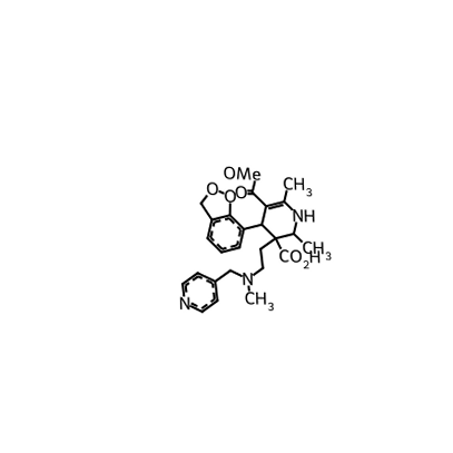 COC(=O)C1=C(C)NC(C)C(CCN(C)Cc2ccncc2)(C(=O)O)C1c1cccc2c1OOC2